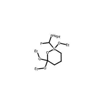 CCCCCCCC(F)[Si]1(OCC)CCCC(OCC)(OCC)O1